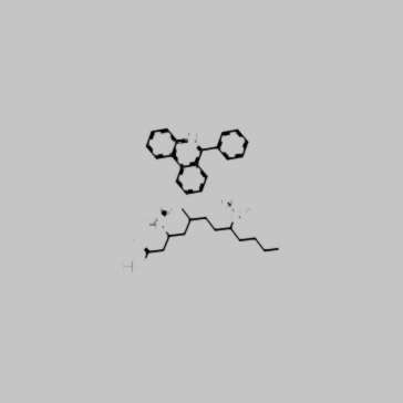 CCCCC(CCC(C)CC(CC(=O)O)[N+](=O)[O-])[N+](=O)[O-].c1ccc(-c2nc3ccccc3c3ccccc23)cc1